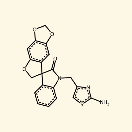 Nc1nc(CN2C(=O)C3(COc4cc5c(cc43)OCO5)c3ccccc32)cs1